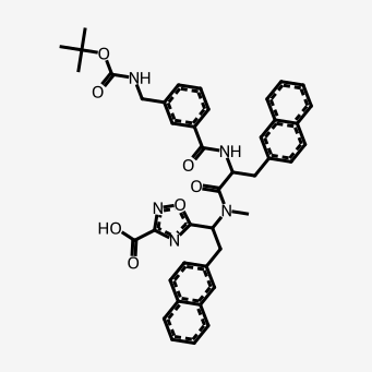 CN(C(=O)C(Cc1ccc2ccccc2c1)NC(=O)c1cccc(CNC(=O)OC(C)(C)C)c1)C(Cc1ccc2ccccc2c1)c1nc(C(=O)O)no1